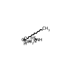 CCCCCCCCCCCCO[PH](=O)O.N=C(N)S